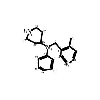 Cc1ccncc1CN(c1ccccc1)C1CCNCC1